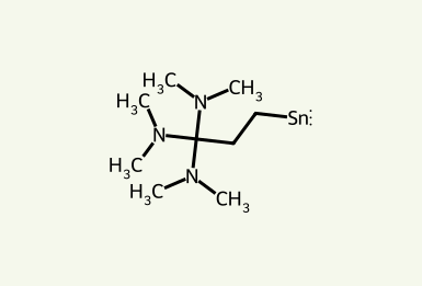 CN(C)C(C[CH2][Sn])(N(C)C)N(C)C